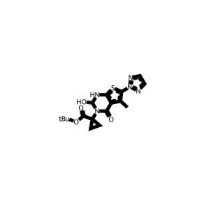 Cc1c(-n2nccn2)sc2c1C(=O)N(C1(C(=O)OC(C)(C)C)CC1)C(O)N2